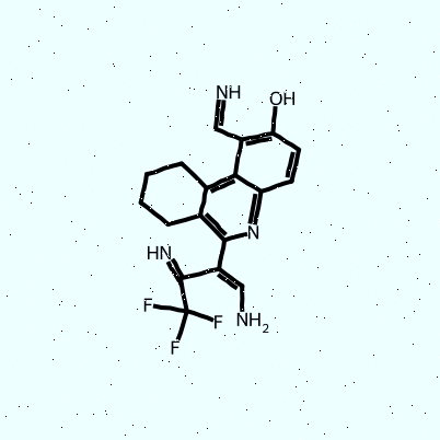 N=Cc1c(O)ccc2nc(/C(=C/N)C(=N)C(F)(F)F)c3c(c12)CCCC3